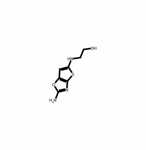 Nc1nc2sc(NCCO)cc2o1